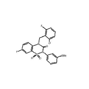 CSc1cccc(N2C(=O)N(Cc3c(F)cccc3Cl)c3ccc(F)cc3S2(=O)=O)c1